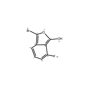 Oc1oc(Br)c2cccc(F)c12